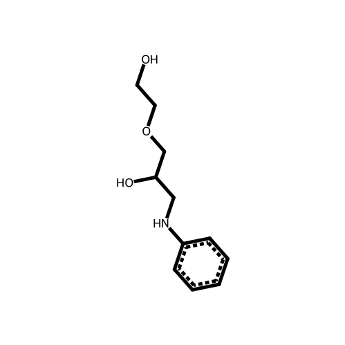 OCCOCC(O)CNc1ccccc1